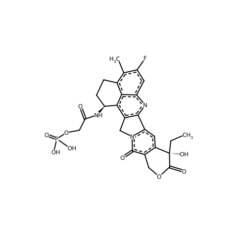 CC[C@@]1(O)C(=O)OCc2c1cc1n(c2=O)Cc2c-1nc1cc(F)c(C)c3c1c2[C@@H](NC(=O)COP(=O)(O)O)CC3